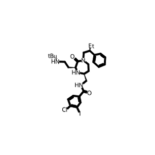 CC[C@H](CN1CC[C@@H](CNC(=O)c2ccc(Cl)c(I)c2)N[C@@H](CCNC(C)(C)C)C1=O)c1ccccc1